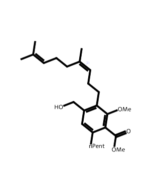 CCCCCc1cc(CO)c(CC/C=C(/C)CCC=C(C)C)c(OC)c1C(=O)OC